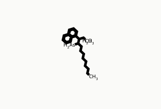 CCCCCCCCCC([AsH2])C(CC)c1cccc2ccccc12.O